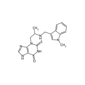 CC(Cn1c(=S)[nH]c(=O)c2[nH]cnc21)NCc1cn(C)c2ccccc12